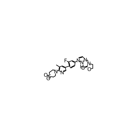 Cc1cc(-c2ccc(N3C=CN(CN4CCOC4=O)N3)cc2F)cnc1N1CCS(=O)(=O)CC1